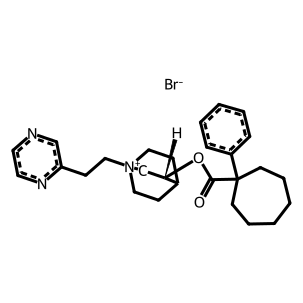 O=C(O[C@H]1C[N+]2(CCc3cnccn3)CCC1CC2)C1(c2ccccc2)CCCCCC1.[Br-]